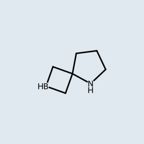 B1CC2(C1)CCCN2